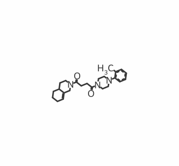 Cc1ccccc1N1CCN(C(=O)CCC(=O)N2CCC3CCCC=C3C2)CC1